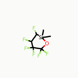 C[Si]1(C)OC(F)(F)C(F)(F)C(F)C1F